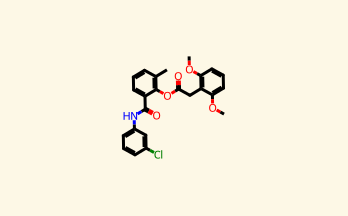 COc1cccc(OC)c1CC(=O)Oc1c(C)cccc1C(=O)Nc1cccc(Cl)c1